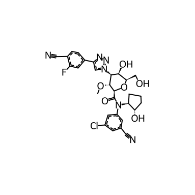 CO[C@@H]1[C@@H](n2cc(-c3ccc(C#N)c(F)c3)nn2)[C@@H](O)[C@@H](CO)O[C@H]1C(=O)N(c1cc(Cl)cc(C#N)c1)[C@H]1CCC[C@@H]1O